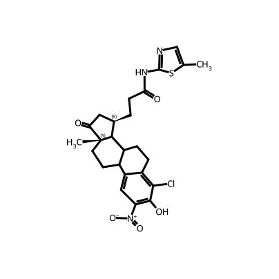 Cc1cnc(NC(=O)CC[C@@H]2CC(=O)[C@@]3(C)CCC4c5cc([N+](=O)[O-])c(O)c(Cl)c5CCC4C23)s1